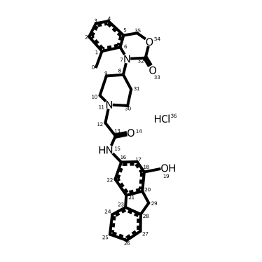 Cc1cccc2c1N(C1CCN(CC(=O)Nc3cc(O)c4c(c3)-c3ccccc3C4)CC1)C(=O)OC2.Cl